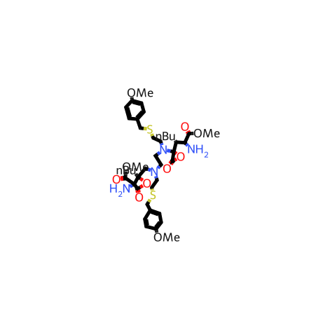 CCCCC(C(N)C(=O)OC)C1(N(CCSCc2ccc(OC)cc2)CCN(CCSCc2ccc(OC)cc2)CC2(CCCC)OC(=O)C2(N)C(=O)OC)OC1=O